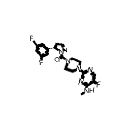 CNc1nc(N2CCN(C(=O)N3N=CC[C@H]3c3cc(F)cc(F)c3)CC2)ncc1F